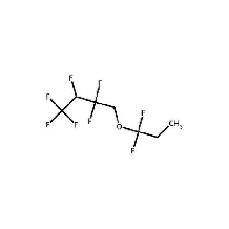 CCC(F)(F)OCC(F)(F)C(F)C(F)(F)F